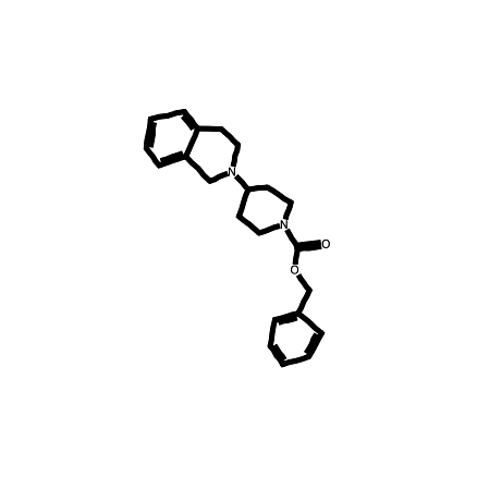 O=C(OCc1ccccc1)N1CCC(N2CCc3ccccc3C2)CC1